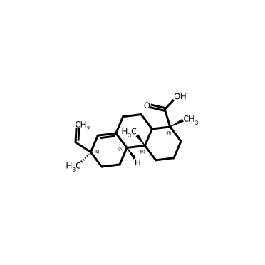 C=C[C@@]1(C)C=C2CCC3[C@](C)(C(=O)O)CCC[C@]3(C)[C@@H]2CC1